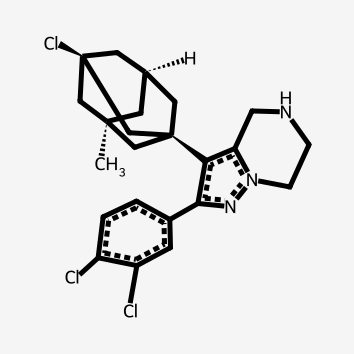 C[C@@]12C[C@H]3C[C@@](Cl)(C1)C[C@](c1c(-c4ccc(Cl)c(Cl)c4)nn4c1CNCC4)(C3)C2